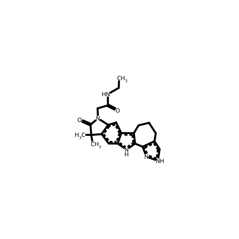 CCNC(=O)CN1C(=O)C(C)(C)c2cc3[nH]c4c(c3cc21)CCCc1c[nH]nc1-4